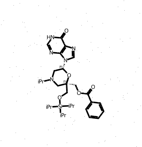 CC(C)N1C[C@H](n2cnc3c(=O)[nH]cnc32)O[C@@](COC(=O)c2ccccc2)(CO[Si](C(C)C)(C(C)C)C(C)C)C1